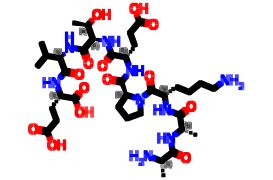 CC(C)[C@H](NC(=O)[C@@H](NC(=O)[C@H](CCC(=O)O)NC(=O)[C@@H]1CCCN1C(=O)[C@H](CCCCN)NC(=O)[C@H](C)NC(=O)[C@H](C)N)[C@@H](C)O)C(=O)N[C@@H](CCC(=O)O)C(=O)O